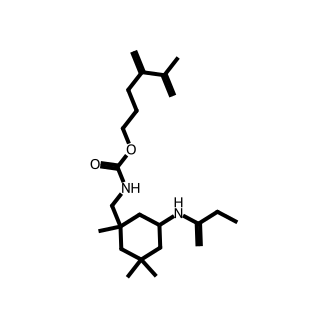 C=C(CC)NC1CC(C)(C)CC(C)(CNC(=O)OCCCC(=C)C(=C)C)C1